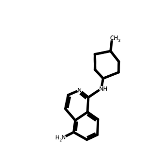 CC1CCC(Nc2nccc3c(N)cccc23)CC1